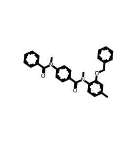 Cc1ccc(N(C)C(=O)c2ccc(N(C)C(=O)c3ccccc3)cc2)c(OCc2ccccc2)c1